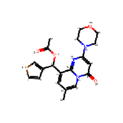 CC(=O)OC(c1ccsc1)c1cc(C)cn2c(=O)cc(N3CCOCC3)nc12